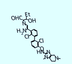 CCC(O)/C(C=O)=N\C=C(/N)c1cccc(-c2cccc(ONc3nc4c(n3C)CCN(C)C4)c2Cl)c1Cl